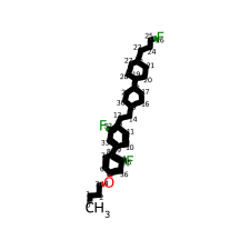 CCCCOc1ccc(-c2ccc(CCC3CCC(C4CCC(CCCF)CC4)CC3)c(F)c2)c(F)c1